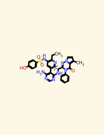 CCc1ncc(-c2c(N)ncnc2NC(C)c2nn3ccc(C)c3c(=O)n2-c2ccccc2)cc1NS(=O)(=O)c1ccc(O)cc1